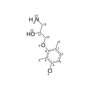 Cc1ccc(Cl)c(C)c1OCC(O)CN